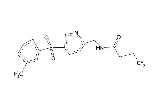 O=C(CCC(F)(F)F)NCc1ccc(S(=O)(=O)c2cccc(C(F)(F)F)c2)cn1